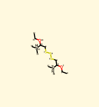 CCOC(CSSSCC(OCC)[SiH](C)C)[SiH](C)C